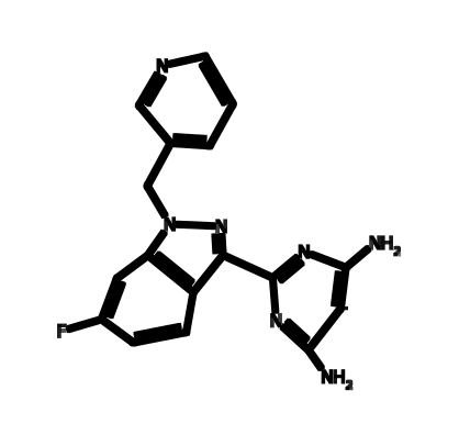 Nc1[c]c(N)nc(-c2nn(Cc3cccnc3)c3cc(F)ccc23)n1